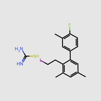 Cc1cc(C)c(CCI)c(-c2ccc(F)c(C)c2)c1.N=C(N)S